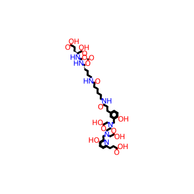 O=CO[C@H](CCCCNC(=O)CCCCCNC(=O)CCc1ccc(O)c(CN(CCN(CC(=O)O)Cc2nc(CCC(=O)O)ccc2O)CC(=O)O)c1)NC(=O)N[C@@H](CCC(=O)O)C(=O)O